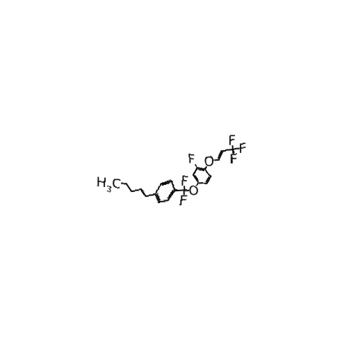 CCCCCc1ccc(C(F)(F)Oc2ccc(O/C=C/C(F)(F)F)c(F)c2)cc1